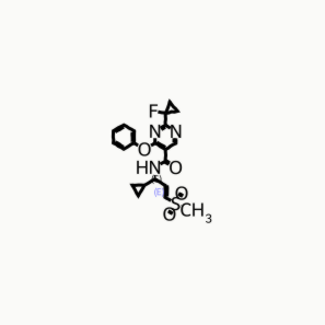 CS(=O)(=O)/C=C/[C@@H](NC(=O)c1cnc(C2(F)CC2)nc1Oc1ccccc1)C1CC1